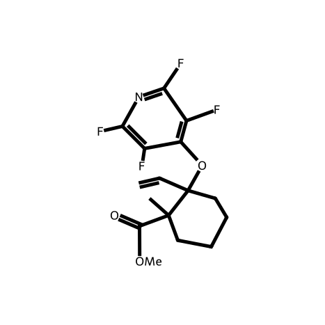 C=CC1(Oc2c(F)c(F)nc(F)c2F)CCCCC1(C)C(=O)OC